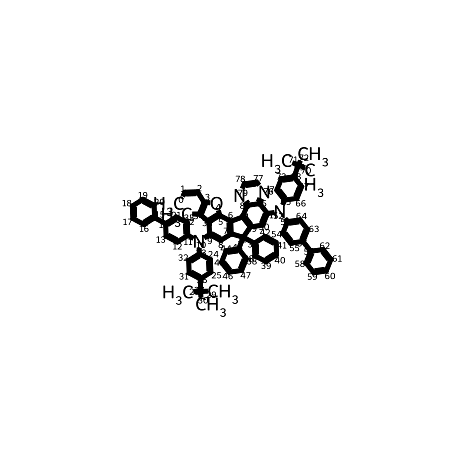 C/C=C\c1oc2c3c(cc(N(c4ccc(-c5ccccc5)cc4)c4ccc(C(C)(C)C)cc4)c2c1C)C(c1ccccc1)(c1ccccc1)c1cc(N(c2ccc(-c4ccccc4)cc2)c2ccc(C(C)(C)C)cc2)c2nccnc2c1-3